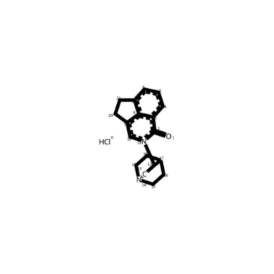 Cl.O=c1c2cccc3c2c(cn1C1CN2CCC1CC2)CC3